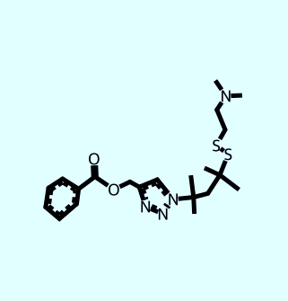 CN(C)CCSSC(C)(C)CC(C)(C)n1cc(COC(=O)c2ccccc2)nn1